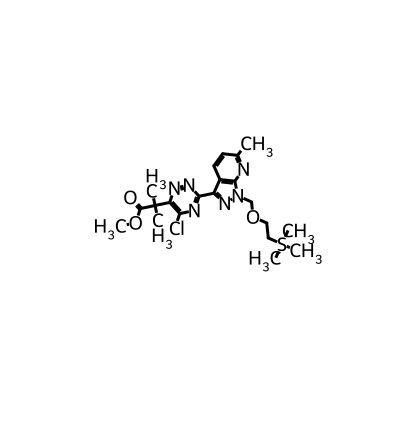 COC(=O)C(C)(C)c1nnc(-c2nn(COCCS(C)(C)C)c3nc(C)ccc23)nc1Cl